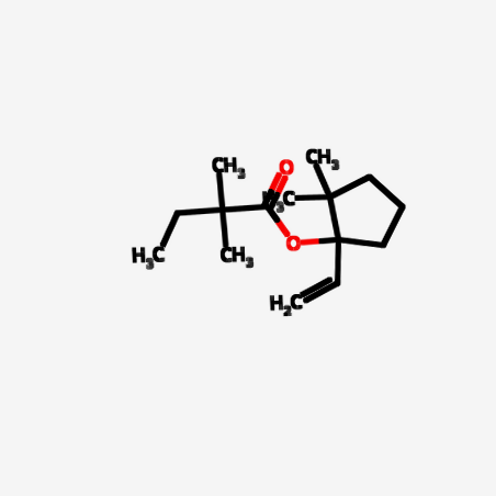 C=CC1(OC(=O)C(C)(C)CC)CCCC1(C)C